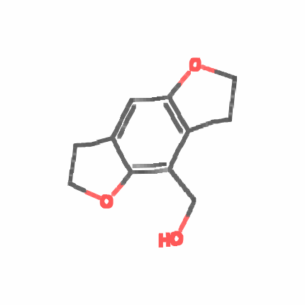 OCc1c2c(cc3c1OCC3)OCC2